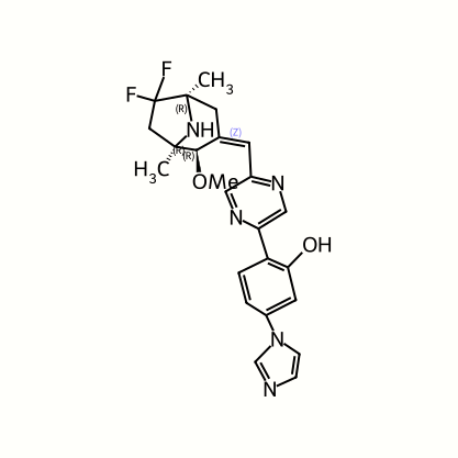 CO[C@@H]1/C(=C\c2cnc(-c3ccc(-n4ccnc4)cc3O)cn2)C[C@@]2(C)N[C@]1(C)CC2(F)F